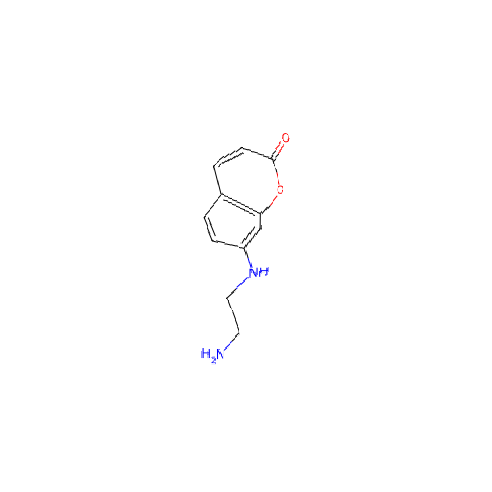 NCCNc1ccc2ccc(=O)oc2c1